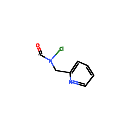 O=[C]N(Cl)Cc1ccccn1